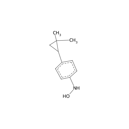 CC1(C)CC1c1ccc(NO)cc1